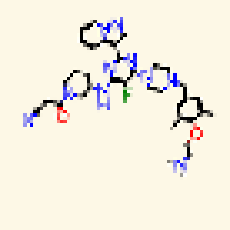 Cc1cc(CN2CCN(c3nc(-c4cnn5ccccc45)nc(N[C@@H]4CCCN(C(=O)CC#N)C4)c3F)CC2)cc(C)c1OCCN(C)C